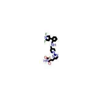 O=C1NC(=O)C(=Cc2ccnc(N3CCC(CNCc4ccccc4-c4cc(F)nc(F)c4)CC3)n2)S1